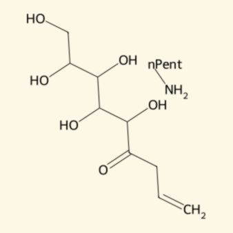 C=CCC(=O)C(O)C(O)C(O)C(O)CO.CCCCCN